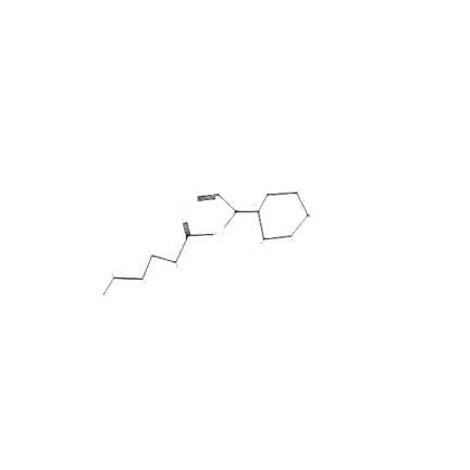 C=CC(OC(=O)CCCCC)C1CCCCC1